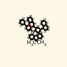 CC1(C)c2ccccc2-c2c(N(c3ccc(-c4ccccc4)cc3)c3ccc(-c4cccc5ccccc45)cc3-c3ccc4ccccc4c3)cccc21